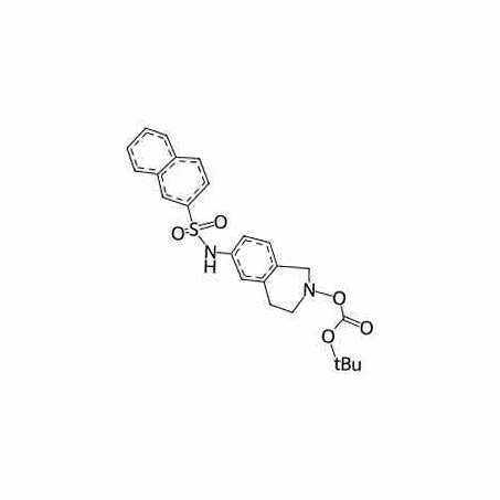 CC(C)(C)OC(=O)ON1CCc2cc(NS(=O)(=O)c3ccc4ccccc4c3)ccc2C1